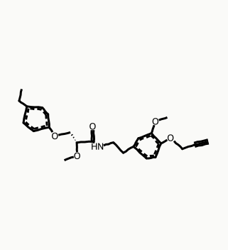 C#CCOc1ccc(CCNC(=O)[C@@H](COc2ccc(CC)cc2)OC)cc1OC